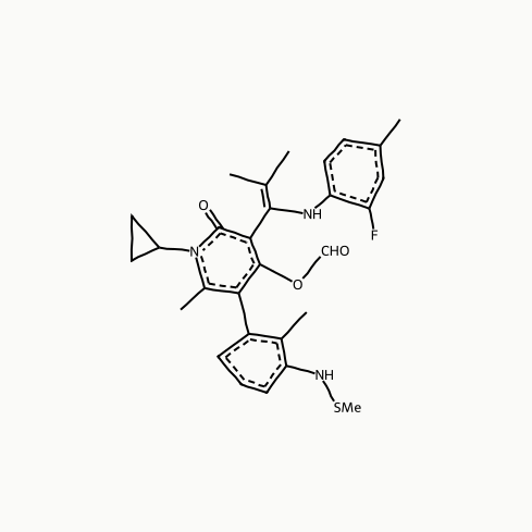 CSNc1cccc(-c2c(OC=O)c(C(Nc3ccc(C)cc3F)=C(C)C)c(=O)n(C3CC3)c2C)c1C